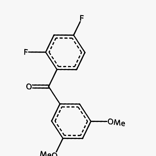 COc1cc(OC)cc(C(=O)c2ccc(F)cc2F)c1